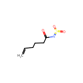 C=CCCCC(=O)N=S(=O)=O